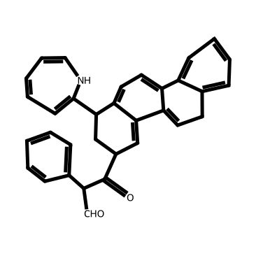 O=CC(C(=O)C1C=c2c(ccc3c2=CCc2ccccc2-3)C(C2=CC=CC=CN2)C1)c1ccccc1